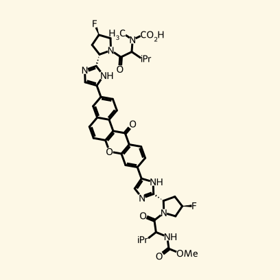 COC(=O)NC(C(=O)N1C[C@H](F)C[C@H]1c1ncc(-c2ccc3c(=O)c4c(ccc5cc(-c6cnc([C@@H]7C[C@@H](F)CN7C(=O)C(C(C)C)N(C)C(=O)O)[nH]6)ccc54)oc3c2)[nH]1)C(C)C